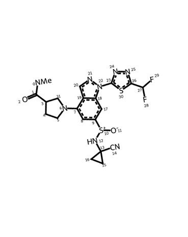 CNC(=O)C1CCN(c2cc([S+]([O-])NC3(C#N)CC3)cc3c2cnn3-c2nnc(C(F)F)s2)C1